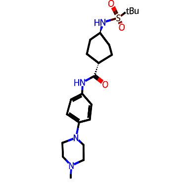 CN1CCN(c2ccc(NC(=O)[C@H]3CC[C@H](NS(=O)(=O)C(C)(C)C)CC3)cc2)CC1